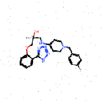 C[C@](O)(CNC1CCN(Cc2ccc(Cl)cc2)CC1)COc1ccccc1-c1nnn[nH]1